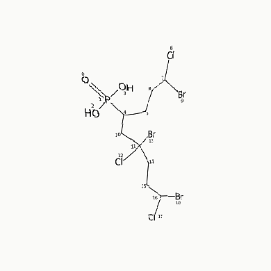 O=P(O)(O)C(CCC(Cl)Br)CC(Cl)(Br)CCC(Cl)Br